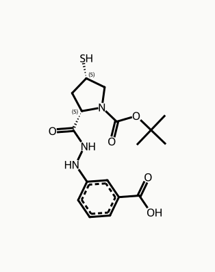 CC(C)(C)OC(=O)N1C[C@@H](S)C[C@H]1C(=O)NNc1cccc(C(=O)O)c1